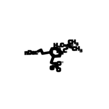 CCCCCCCCCCCCc1ccccc1CS(=O)(=O)[O-].C[N+](C)(C)C